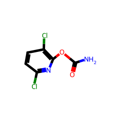 NC(=O)Oc1nc(Cl)ccc1Cl